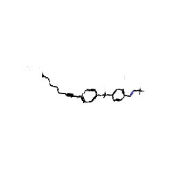 CCC(CC)(c1ccc(C#CCCCCC(=O)OC)c(C)c1)c1ccc(/C=C/C(O)(C(F)(F)F)C(F)(F)F)c(C)c1